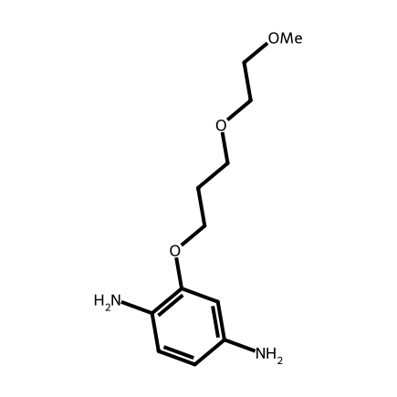 COCCOCCCOc1cc(N)ccc1N